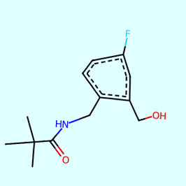 CC(C)(C)C(=O)NCc1ccc(F)cc1CO